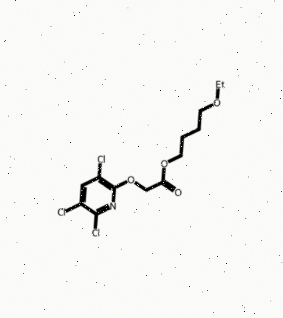 CCOCCCCOC(=O)COc1nc(Cl)c(Cl)cc1Cl